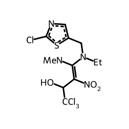 CCN(Cc1cnc(Cl)s1)C(NC)=C(C(O)C(Cl)(Cl)Cl)[N+](=O)[O-]